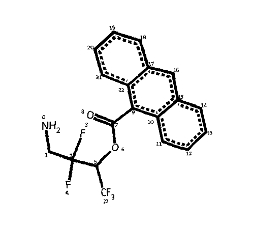 NCC(F)(F)C(OC(=O)c1c2ccccc2cc2ccccc12)C(F)(F)F